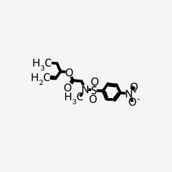 C=CC(CC)OC(=O)CN(C)S(=O)(=O)c1ccc([N+](=O)[O-])cc1